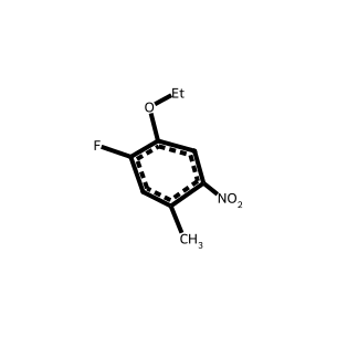 CCOc1cc([N+](=O)[O-])c(C)cc1F